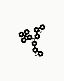 c1ccc(C2(c3ccccc3)c3ccccc3-c3cc(N(c4ccc(-c5ccc6oc7ccccc7c6c5)cc4)c4cccc(-c5cccc6c5sc5ccccc56)c4)ccc32)cc1